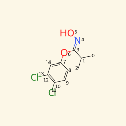 CC(C)/C(=N/O)Oc1ccc(Cl)c(Cl)c1